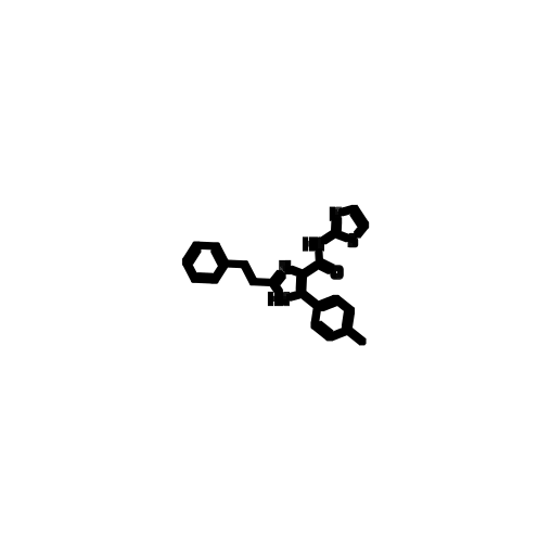 Cc1ccc(-c2[nH]c(CCc3ccccc3)nc2C(=O)Nc2nccs2)cc1